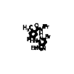 CCn1cnc2cc(Br)nc(Nc3cc(C(=O)NC(C)C)c(C)cc3F)c21